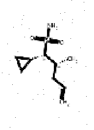 C=CC[C@@H](C)[C@H](C1CC1)S(N)(=O)=O